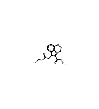 CCOC(=O)Cc1c(C(=O)OC)n2c3c(cccc13)OCC2